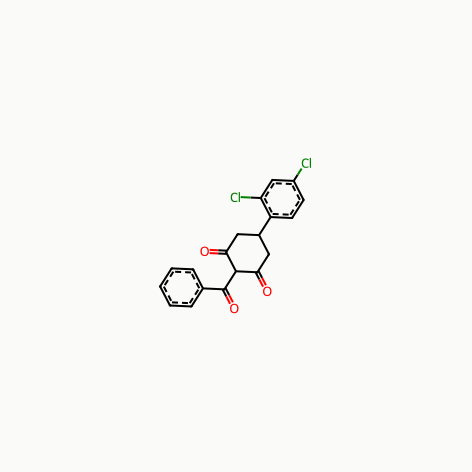 O=C1CC(c2ccc(Cl)cc2Cl)CC(=O)C1C(=O)c1ccccc1